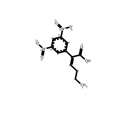 CCC/C=C(\C(=O)O)c1cc([N+](=O)[O-])cc([N+](=O)[O-])c1